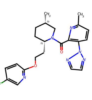 Cc1ccc(-n2nccn2)c(C(=O)N2C[C@@H](C)CC[C@H]2CCOc2ccc(F)cn2)n1